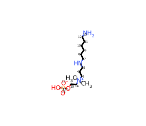 C[N+](C)(CCCNCCCCCCN)CCOP(=O)([O-])O